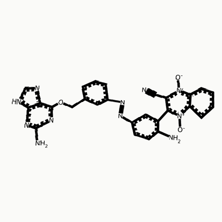 N#Cc1c(-c2cc(N=Nc3cccc(COc4nc(N)nc5[nH]cnc45)c3)ccc2N)[n+]([O-])c2ccccc2[n+]1[O-]